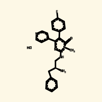 Cl.Cn1c(NC[C@@H](N)Cc2ccccc2)nc(-c2ccncc2)c(-c2ccc(F)cc2)c1=O